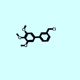 COc1cc(-c2cccc(CCl)c2)cc(OC)c1OC